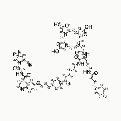 Cc1ccc(CCCC(=O)NCCC[C@H](NC(=O)CN2CCN(CC(=O)O)CCN(CC(=O)O)CCN(CC(=O)O)CC2)C(=O)NCCCCCC(=O)N2CCC(CCCOc3ccc4nccc(C(=O)NCC(=O)N5CC(F)(F)C[C@@H]5C#N)c4c3)CC2)cc1